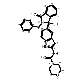 O=C(Nc1nc2cc(C3(O)c4ccccc4C(=O)N3Cc3ccccc3)ccc2[nH]1)N1CCOCC1